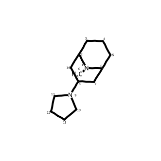 CN1C2CCCC1CC(N1CCCC1)C2